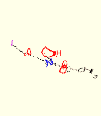 CCCCCC1CCC(OC(=O)CCCCCN(CCO)CCCCCCCC(=O)OCCCCCCCCI)CC1